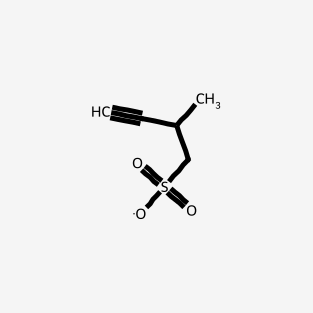 C#CC(C)CS([O])(=O)=O